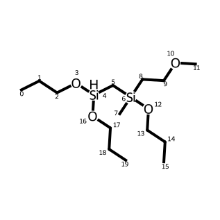 CCCO[SiH](C[Si](C)(CCOC)OCCC)OCCC